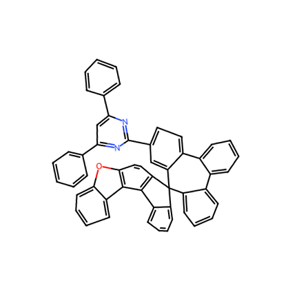 c1ccc(-c2cc(-c3ccccc3)nc(-c3ccc4c(c3)C3(c5ccccc5-c5ccccc5-4)c4ccccc4-c4c3ccc3oc5ccccc5c43)n2)cc1